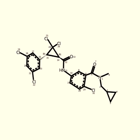 CN(CC1CC1)C(=O)c1cc(NC(=O)[C@H]2[C@H](c3cc(Cl)cc(Cl)c3)C2(Cl)Cl)ccc1Cl